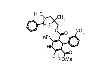 CCCC1=C(C(=O)OCC(C)(C)CN(C)Cc2ccccc2)C(c2cccc([N+](=O)[O-])c2)C(C(=O)OC)=C(C)N1